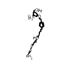 CC1CC(CO)CC(OCCc2ccc(CCCCCNCCOCCOCCOOCCN)cc2)C1